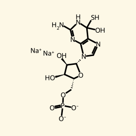 NC1=Nc2c(ncn2[C@@H]2O[C@H](COP(=O)([O-])[O-])[C@@H](O)[C@H]2O)C(O)(S)N1.[Na+].[Na+]